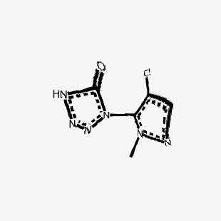 Cn1ncc(Cl)c1-n1nn[nH]c1=O